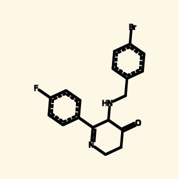 O=C1CCN=C(c2ccc(F)cc2)C1NCc1ccc(Br)cc1